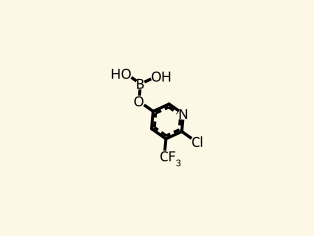 OB(O)Oc1cnc(Cl)c(C(F)(F)F)c1